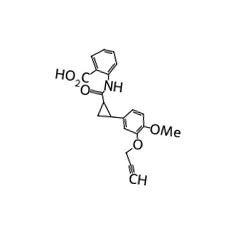 C#CCOc1cc(C2CC2C(=O)Nc2ccccc2C(=O)O)ccc1OC